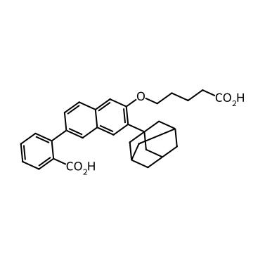 O=C(O)CCCCOc1cc2ccc(-c3ccccc3C(=O)O)cc2cc1C12CC3CC(CC(C3)C1)C2